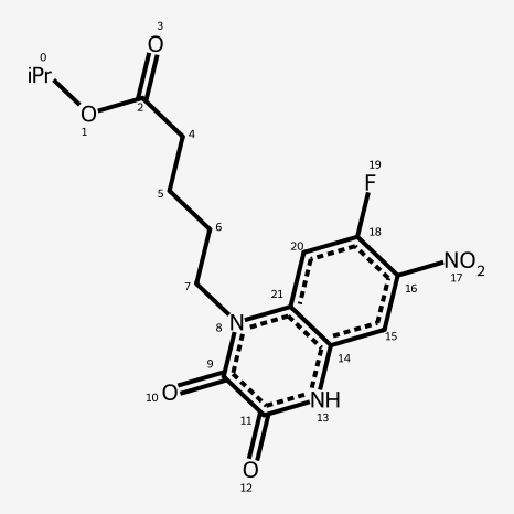 CC(C)OC(=O)CCCCn1c(=O)c(=O)[nH]c2cc([N+](=O)[O-])c(F)cc21